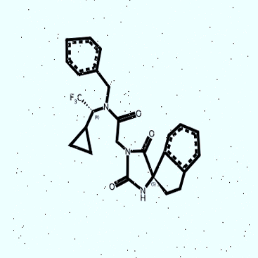 O=C1N[C@]2(CCc3ccccc32)C(=O)N1CC(=O)N(Cc1ccccc1)[C@H](C1CC1)C(F)(F)F